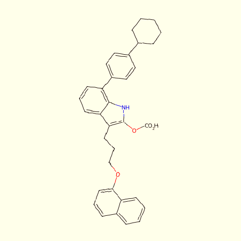 O=C(O)Oc1[nH]c2c(-c3ccc(C4CCCCC4)cc3)cccc2c1CCCOc1cccc2ccccc12